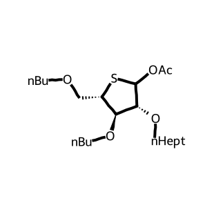 CCCCCCCO[C@H]1C(OC(C)=O)S[C@@H](COCCCC)[C@@H]1OCCCC